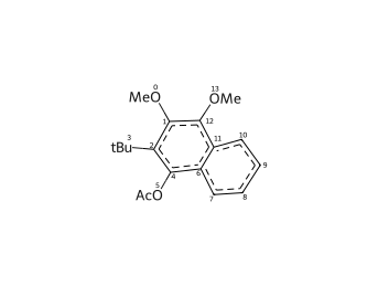 COc1c(C(C)(C)C)c(OC(C)=O)c2ccccc2c1OC